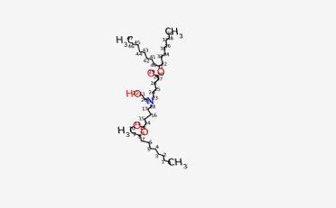 CCCCCCCCC(CC)OC(=O)CCCCCN(CCO)CCCCCC(=O)OC(CCCCCCCC)CCCCCCCC